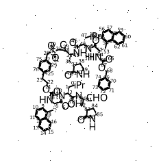 CC(C)C[C@H](NC(=O)[C@H](Cc1cccc2ccccc12)NC(=O)OCCc1ccc(CS(=O)(=O)C2OC2[C@H](C[C@@H]2CCNC2=O)NC(=O)[C@H](CC(C)C)NC(=O)[C@H](Cc2cccc3ccccc23)NC(=O)OCc2ccccc2)cc1)C(=O)N[C@H](C=O)C[C@@H]1CCNC1=O